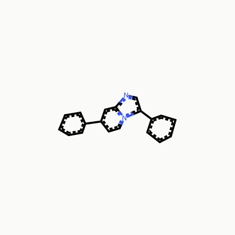 c1ccc(-c2ccn3c(-c4ccccc4)cnc3c2)cc1